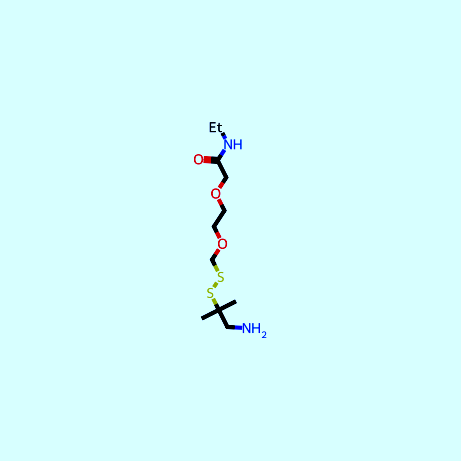 CCNC(=O)COCCOCSSC(C)(C)CN